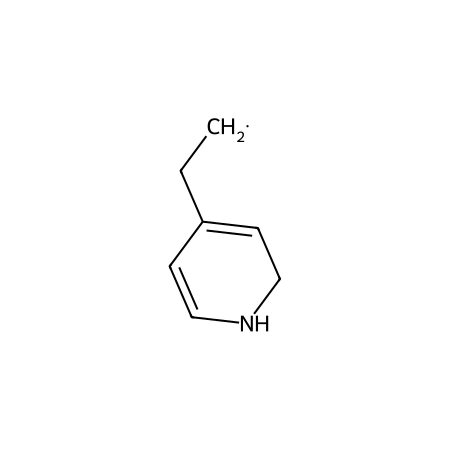 [CH2]CC1=CCNC=C1